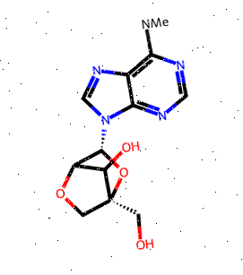 CNc1ncnc2c1ncn2[C@@H]1O[C@@]2(CO)COC1C2O